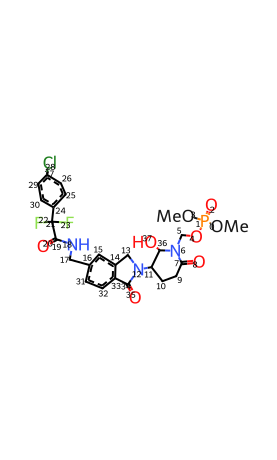 COP(=O)(OC)OCN1C(=O)CCC(N2Cc3cc(CNC(=O)C(F)(F)c4ccc(Cl)cc4)ccc3C2=O)C1O